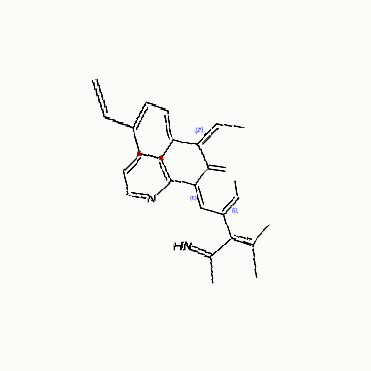 C=CC1=CC=C(/C(=C/C)C(=C)/C(=C\C(=C/C)C(C(C)=N)=C(C)C)c2ccccn2)CC1